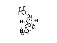 Cc1noc(C2CC2)c1[C@@H](S[C@@H]1O[C@H](CO)[C@H](O)[C@H](n2cc(-c3cc(F)c(F)c(F)c3)nn2)[C@H]1O)C1(O)CCCCC1